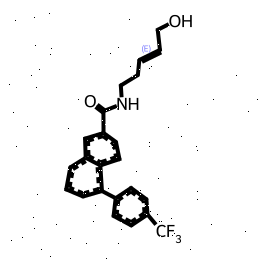 O=C(NCC/C=C/CO)c1ccc2c(-c3ccc(C(F)(F)F)cc3)cccc2c1